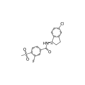 CS(=O)(=O)c1ccc(C(=O)N[C@@H]2CCc3cc(Cl)ccc32)cc1F